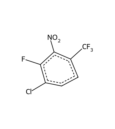 O=[N+]([O-])c1c(C(F)(F)F)ccc(Cl)c1F